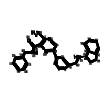 Nc1ncc(-c2cccc(CN[C@H]3CCc4ccccc43)c2)nc1C(=O)NCc1ccccc1